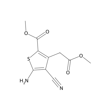 COC(=O)Cc1c(C(=O)OC)sc(N)c1C#N